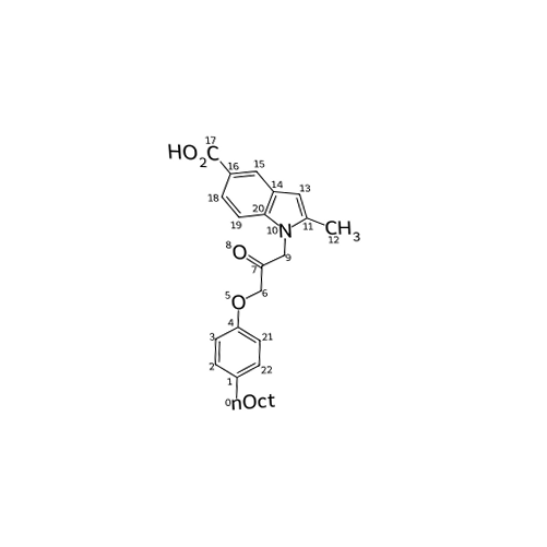 CCCCCCCCc1ccc(OCC(=O)Cn2c(C)cc3cc(C(=O)O)ccc32)cc1